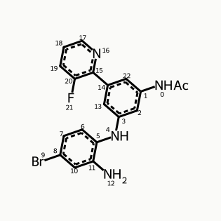 CC(=O)Nc1cc(Nc2ccc(Br)cc2N)cc(-c2ncccc2F)c1